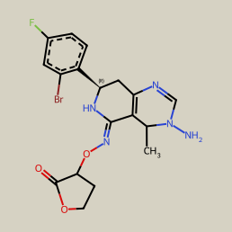 CC1C2=C(C[C@H](c3ccc(F)cc3Br)NC2=NOC2CCOC2=O)N=CN1N